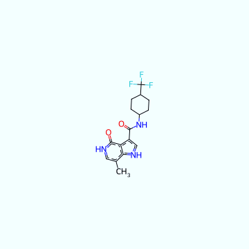 Cc1c[nH]c(=O)c2c(C(=O)NC3CCC(C(F)(F)F)CC3)c[nH]c12